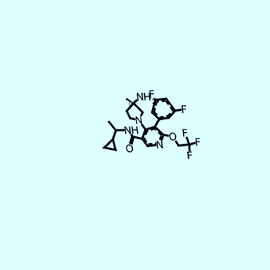 CC(NC(=O)c1cnc(OCC(F)(F)F)c(-c2cc(F)cc(F)c2)c1N1CC[C@](C)(N)C1)C1CC1